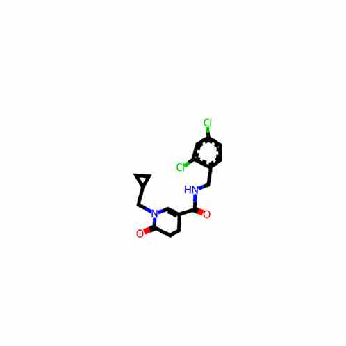 O=C(NCc1ccc(Cl)cc1Cl)C1=CN(CC2CC2)C(=O)CC1